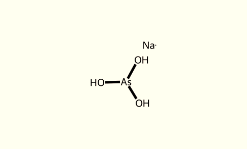 O[As](O)O.[Na]